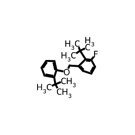 CC(C)(C)c1ccccc1OCc1cccc(F)c1C(C)(C)C